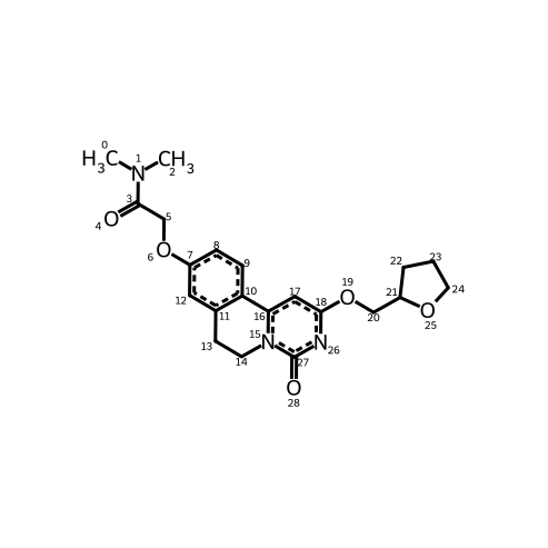 CN(C)C(=O)COc1ccc2c(c1)CCn1c-2cc(OCC2CCCO2)nc1=O